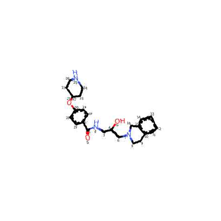 O=C(NCC(O)CN1CCc2ccccc2C1)c1ccc(OC2CCNCC2)cc1